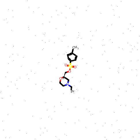 C[C](C)CN1CCO[C@@H](COS(=O)(=O)c2ccc(C)cc2)C1